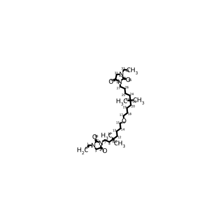 C=CN1CC(=O)N(CCC(C)(C)CCCCOCCCCC(C)(C)CCCCN2C(=O)CN(CC)C2=O)C1=O